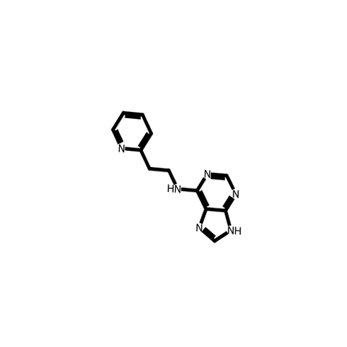 c1ccc(CCNc2ncnc3[nH]cnc23)nc1